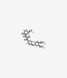 Nc1cc(Oc2ccc(NC(=O)Nc3cc(C(F)(F)F)ccc3F)cc2)ccc1[N+](=O)[O-]